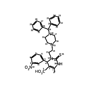 CC1=C(C(=O)O)C(c2cccc([N+](=O)[O-])c2)N(CCN2CCN(C(c3ccccc3)c3ccccc3)CC2)C(=S)N1